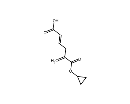 C=C(CC=CC(=O)O)C(=O)OC1CC1